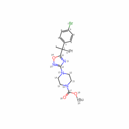 CC(C)C(C)(c1ccc(Br)cc1)c1nc(N2CCN(C(=O)OC(C)(C)C)CC2)no1